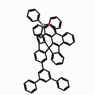 c1ccc(-c2cc(-c3ccccc3)cc(-c3ccc4c(c3)C3(c5cc(N(c6ccccc6)c6ccccc6)ccc5-4)c4ccccc4-c4c3c3c5ccccc5ccc3c3ccccc43)c2)cc1